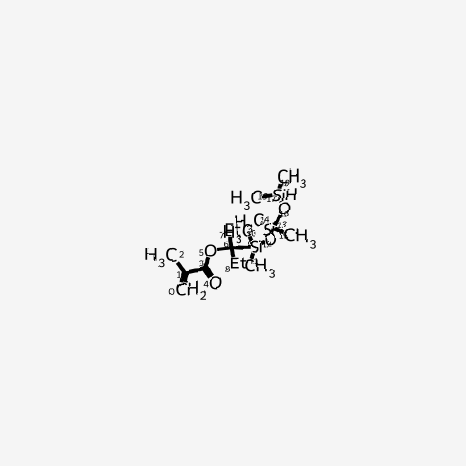 C=C(C)C(=O)OC(CC)(CC)[Si](C)(C)O[Si](C)(C)O[SiH](C)C